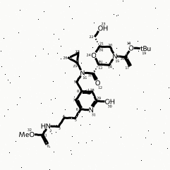 C=C(NCCCc1cc(CN(C(=O)[C@H]2CN(C(=C)OC(C)(C)C)C[C@@H](CO)O2)C2CC2)cc(O)n1)OC